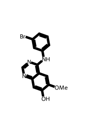 COc1cc2c(Nc3cccc(Br)c3)ncnc2cc1O